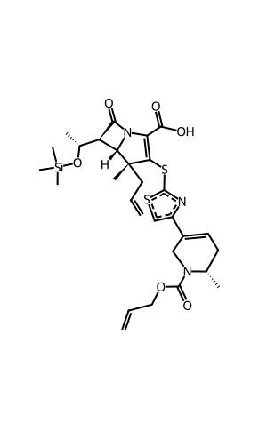 C=CCOC(=O)N1CC(c2csc(SC3=C(C(=O)O)N4C(=O)[C@H]([C@@H](C)O[Si](C)(C)C)[C@H]4[C@@]3(C)CC=C)n2)=CC[C@@H]1C